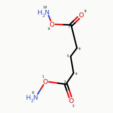 NOC(=O)CCCC(=O)ON